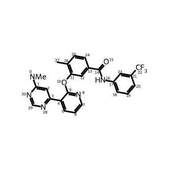 CNc1cc(-c2cccnc2Oc2cc(C(=O)Nc3cccc(C(F)(F)F)c3)ccc2C)ncn1